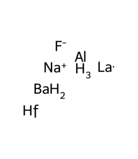 [AlH3].[BaH2].[F-].[Hf].[La].[Na+]